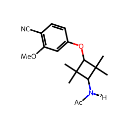 [2H]N(C(C)=O)C1C(C)(C)C(Oc2ccc(C#N)c(OC)c2)C1(C)C